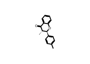 Cc1ccc([C@@H]2Oc3ccccc3C(=O)[C@H]2C)cc1